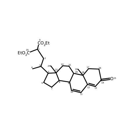 CCOC(=O)C(CC(C)C1CCC2C3C=CC4=CC(=O)CCC4(C)C3CCC12C)C(=O)OCC